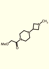 COCC(=O)N1CCN(C2CN(C)C2)CC1